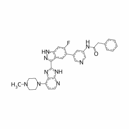 CN1CCN(c2ccnc3[nH]c(-c4n[nH]c5cc(F)c(-c6cncc(NC(=O)Cc7ccccc7)c6)cc45)nc23)CC1